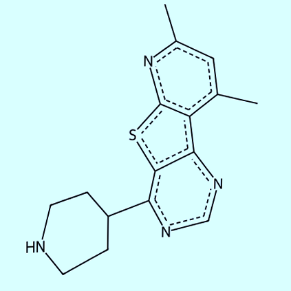 Cc1cc(C)c2c(n1)sc1c(C3CCNCC3)ncnc12